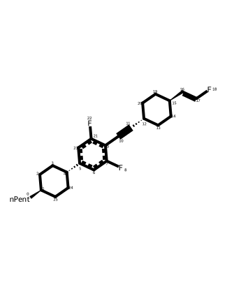 CCCCC[C@H]1CC[C@H](c2cc(F)c(C#C[C@H]3CC[C@H](C=CF)CC3)c(F)c2)CC1